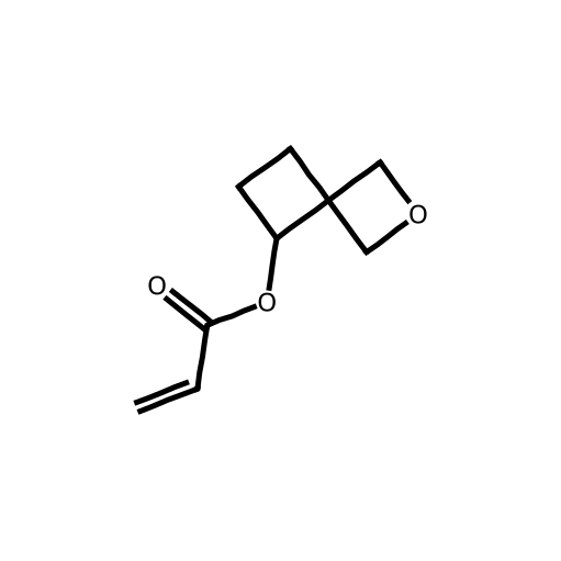 C=CC(=O)OC1CCC12COC2